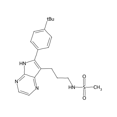 CC(C)(C)c1ccc(-c2[nH]c3nccnc3c2CCCNS(C)(=O)=O)cc1